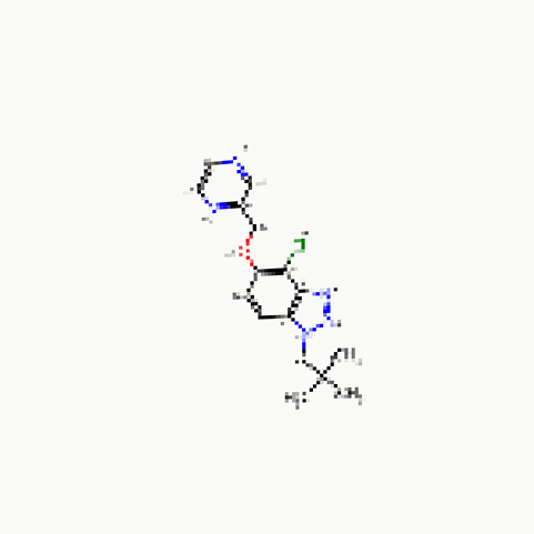 CC(C)(C)Cn1nnc2c(Cl)c(OCc3cnccn3)ccc21